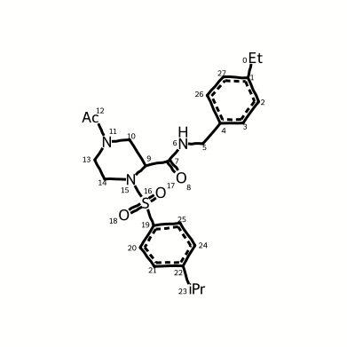 CCc1ccc(CNC(=O)C2CN(C(C)=O)CCN2S(=O)(=O)c2ccc(C(C)C)cc2)cc1